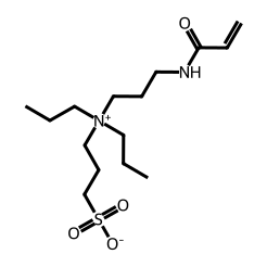 C=CC(=O)NCCC[N+](CCC)(CCC)CCCS(=O)(=O)[O-]